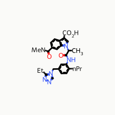 CCCc1ccc(Cn2cnnc2CC)cc1NC(=O)C(C)n1cc(C(=O)O)c2ccc(C(=O)NC)cc21